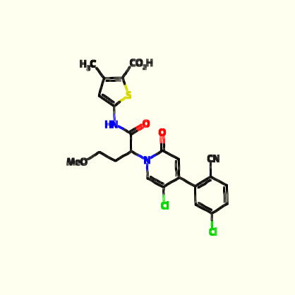 COCCC(C(=O)Nc1cc(C)c(C(=O)O)s1)n1cc(Cl)c(-c2cc(Cl)ccc2C#N)cc1=O